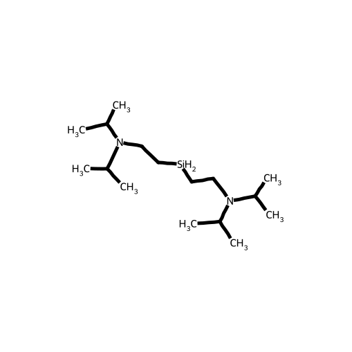 CC(C)N(CC[SiH2]CCN(C(C)C)C(C)C)C(C)C